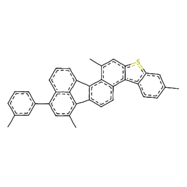 Cc1cccc(-c2cc(C)c3c4c(cccc24)-c2c-3ccc3c2c(C)cc2sc4cc(C)ccc4c23)c1